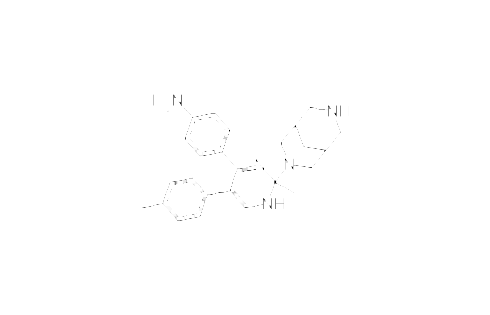 Cc1ccc(C2=CNC(C)(N3CC4CNCC(C4)C3)N=C2c2ccc(N)cc2)cc1